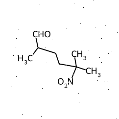 CC(C=O)CCC(C)(C)[N+](=O)[O-]